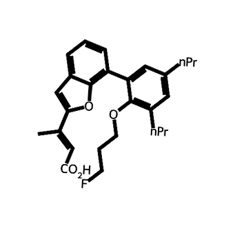 CCCc1cc(CCC)c(OCCCF)c(-c2cccc3cc(C(C)=CC(=O)O)oc23)c1